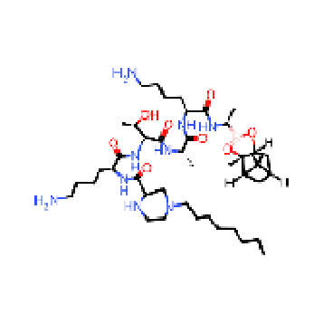 CCCCCCCCN1CCNC(C(=O)N[C@@H](CCCCN)C(=O)N[C@H](C(=O)N[C@@H](C)C(=O)N[C@@H](CCCCN)C(=O)N[C@@H](C)B2O[C@@H]3C[C@@H]4C[C@@H](C4(C)C)[C@]3(C)O2)[C@@H](C)O)C1